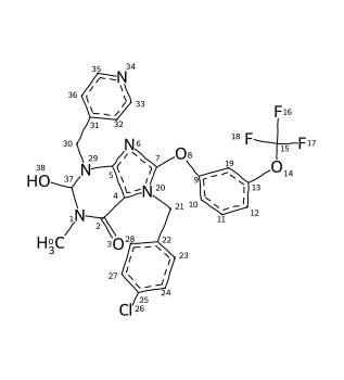 CN1C(=O)c2c(nc(Oc3cccc(OC(F)(F)F)c3)n2Cc2ccc(Cl)cc2)N(Cc2ccncc2)C1O